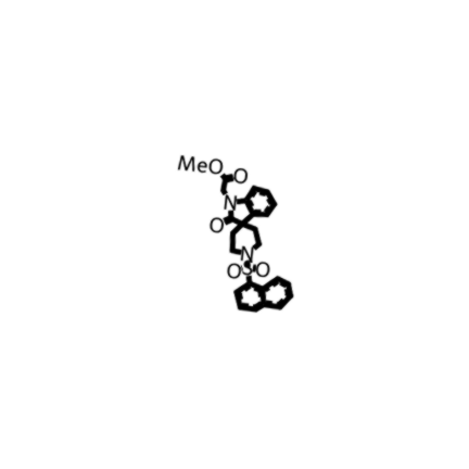 COC(=O)CN1C(=O)C2(CCN(S(=O)(=O)c3cccc4ccccc34)CC2)c2ccccc21